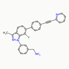 Cc1nn(-c2cccc(CN)c2)c2c(F)c(-c3ccc(C#Cc4ccccn4)cc3)ccc12